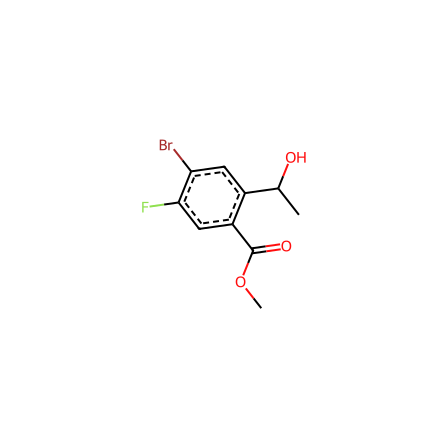 COC(=O)c1cc(F)c(Br)cc1C(C)O